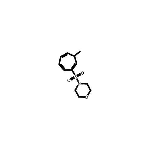 CC1C=CC=CC(S(=O)(=O)N2CCOCC2)=C1